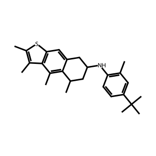 Cc1cc(C(C)(C)C)ccc1NC1Cc2cc3sc(C)c(C)c3c(C)c2C(C)C1